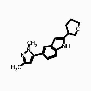 Cc1cc(-c2ccc3[nH]c(C4CCCCC4)cc3c2)n(C)n1